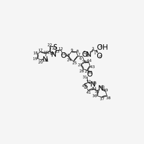 O=C(O)C=NOC(c1ccc(OCc2nc(-c3ccccn3)cs2)cc1)c1ccc(OCc2nc(-c3ccccn3)cs2)cc1